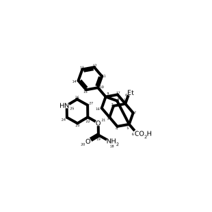 CCC12CC3CC(C(=O)O)(C1)CC(c1ccccc1)(C3)C2.NC(=O)OC1CCNCC1